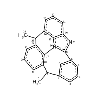 CC1c2cccc(c2)-c2nc3cccc4c3n2-c2c1cccc2C4C